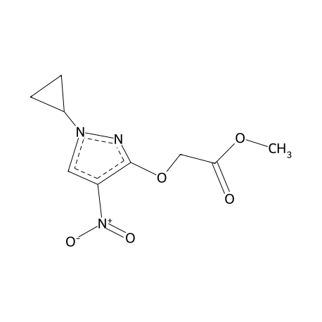 COC(=O)COc1nn(C2CC2)cc1[N+](=O)[O-]